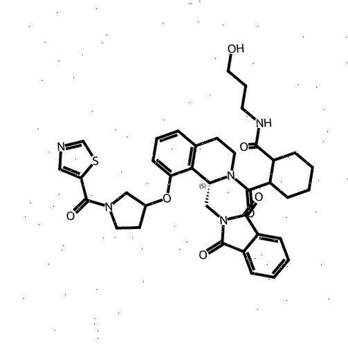 O=C(NCCCO)C1CCCCC1C(=O)N1CCc2cccc(OC3CCN(C(=O)c4cncs4)C3)c2[C@H]1CN1C(=O)c2ccccc2C1=O